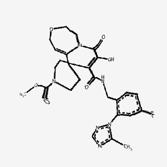 COC(=O)N1CCC2(CC1)C1=CCOCCN1C(=O)C(O)=C2C(=O)NCc1ccc(F)cc1-n1ncnc1C